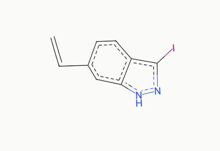 C=Cc1ccc2c(I)n[nH]c2c1